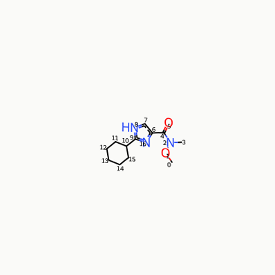 CON(C)C(=O)c1c[nH]c(C2CCCCC2)n1